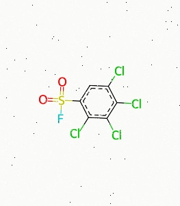 O=S(=O)(F)c1cc(Cl)c(Cl)c(Cl)c1Cl